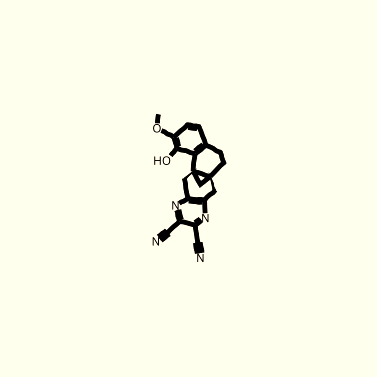 COc1ccc2c(c1O)[C@]13Cc4nc(C#N)c(C#N)nc4C[C@@]1(CC2)C3